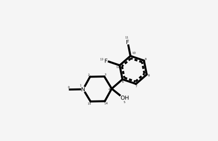 CN1CCC(O)(c2cccc(F)c2F)CC1